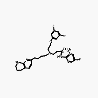 O=C(O)[C@H](CCN(CCCCc1ccc2c(n1)NCCC2)CCOc1cc(F)cc(F)c1)Nc1ncc(F)cn1